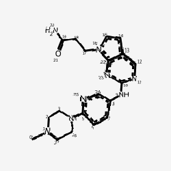 CN1CCN(c2ccc(Nc3ncc4ccn(CCC(N)=O)c4n3)cn2)CC1